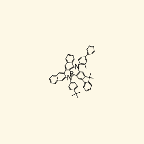 Cc1cc(-c2ccccc2)ccc1N1c2cc3c(cc2B2c4c(cc5ccccc5c41)-c1cc4ccccc4cc1N2c1ccc(C(C)(C)C)cc1)-c1ccccc1C3(C)C